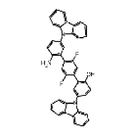 Nc1ccc(-n2c3ccccc3c3ccccc32)cc1-c1cc(F)c(-c2cc(-n3c4ccccc4c4ccccc43)ccc2O)cc1F